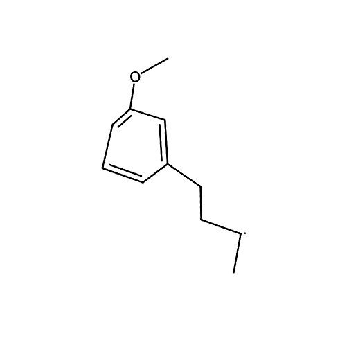 C[CH]CCc1cccc(OC)c1